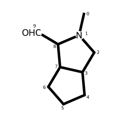 CN1CC2CCCC2C1C=O